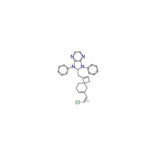 Cl/C=C\C1=CCCC2(CC=C2CC2N(c3ccccc3)c3nccnc3N2c2ccccc2)C1